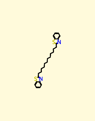 c1ccc2sc(CCCCCCCCCCCCc3nc4ccccc4s3)nc2c1